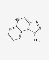 CN1N=NC2=CNc3ccccc3N21